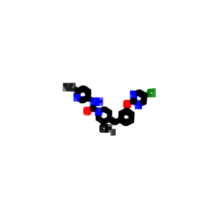 CC1CN(C(=O)Nc2ccc(C#N)nc2)CC/C1=C\c1cccc(Oc2ncc(Cl)cn2)c1